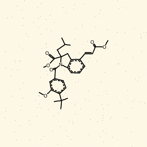 COC(=O)C=Cc1cccc2c1CC(CC(C)C)(C(=O)OC)N2C(=O)c1ccc(C(C)(C)C)c(OC)c1